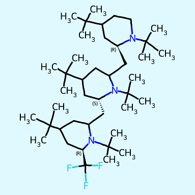 CC(C)(C)C1CCN(C(C)(C)C)[C@@H](CC2CC(C(C)(C)C)C[C@@H](CC3CC(C(C)(C)C)C[C@H](C(F)(F)F)N3C(C)(C)C)N2C(C)(C)C)C1